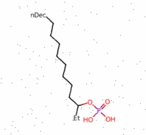 CCCCCCCCCCCCCCCCCCC(CC)OP(=O)(O)O